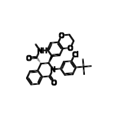 CNC(=O)[C@H]1c2ccccc2C(=O)N(c2ccc(C(C)(C)C)c(Cl)c2)[C@@H]1c1ccc2c(c1)OCCO2